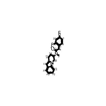 CN(C(=O)Cc1ccc(F)cc1F)[C@@H]1CCc2[c]c3ccccc3n2C1